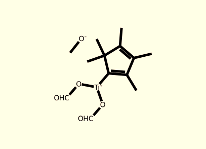 CC1=C(C)C(C)(C)[C]([Ti+]([O]C=O)[O]C=O)=C1C.C[O-]